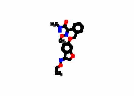 CCON=C1COc2cc(OCc3ccccc3C(=NOC)C(=O)NC)ccc21